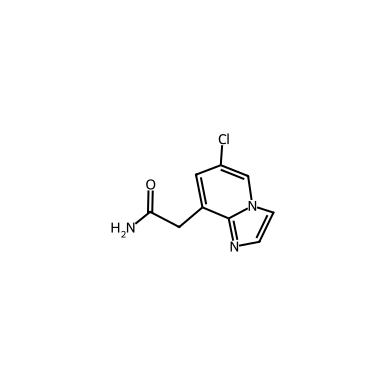 NC(=O)Cc1cc(Cl)cn2ccnc12